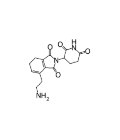 NCCC1=CCCC2=C1C(=O)N(C1CCC(=O)NC1=O)C2=O